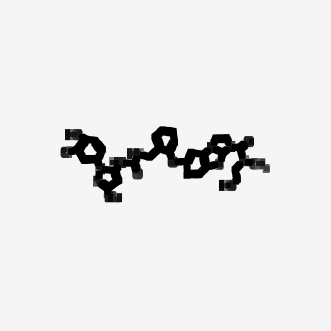 CN(CCO)C(=O)N1C=CN2c3cc(Oc4ccccc4CNC(=O)Nc4cc(C(C)(C)C)nn4-c4ccc(O)c(Cl)c4)ccc3SC12